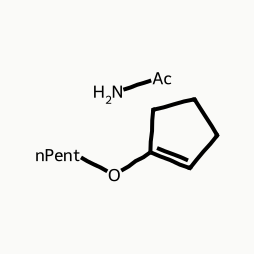 CC(N)=O.CCCCCOC1=CCCC1